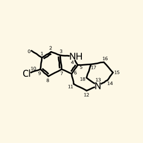 Cc1cc2[nH]c3c(c2cc1Cl)CCN1CCCC3C1